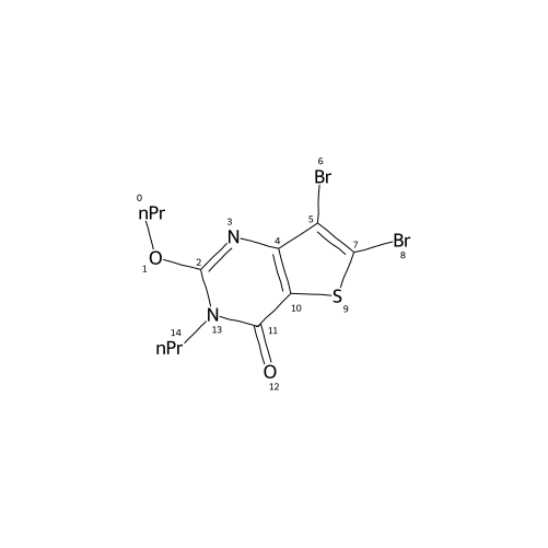 CCCOc1nc2c(Br)c(Br)sc2c(=O)n1CCC